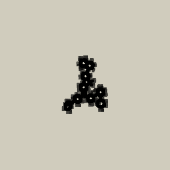 CC1(C)c2cc(-c3cccc4ccccc34)ccc2-c2ccc(N(c3ccc(C4CC5CCC4C5)cc3)c3cccc(-c4ccccc4C4CCCCC4)c3)cc21